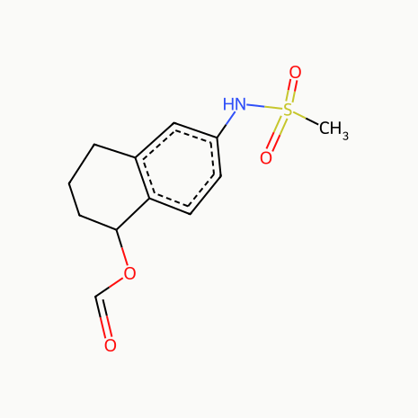 CS(=O)(=O)Nc1ccc2c(c1)CCCC2OC=O